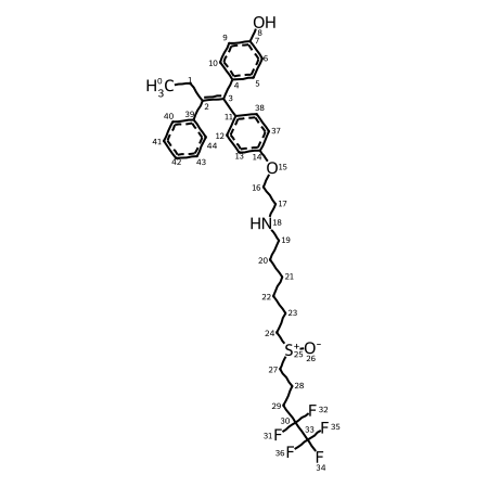 CC/C(=C(\c1ccc(O)cc1)c1ccc(OCCNCCCCCC[S+]([O-])CCCC(F)(F)C(F)(F)F)cc1)c1ccccc1